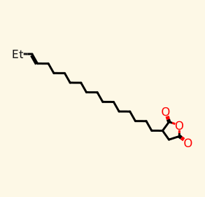 CCC=CCCCCCCCCCCCCCCC1CC(=O)OC1=O